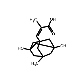 CC(=CC12CC3(C)CC(O)(CC(O)(C3)C1)C2)C(=O)O